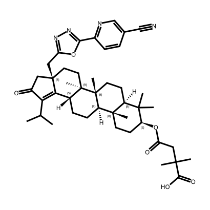 CC(C)C1=C2[C@H]3CC[C@@H]4[C@@]5(C)CC[C@H](OC(=O)CC(C)(C)C(=O)O)C(C)(C)[C@@H]5CC[C@@]4(C)[C@]3(C)CC[C@@]2(Cc2nnc(-c3ccc(C#N)cn3)o2)CC1=O